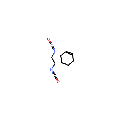 C1=CCCCC1.O=C=NCCN=C=O